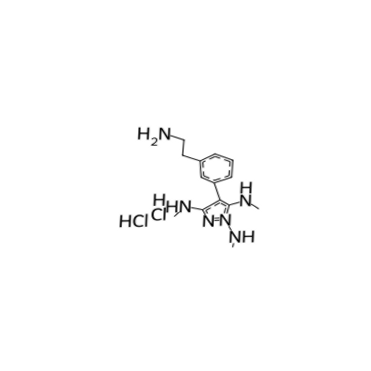 CNc1nn(NC)c(NC)c1-c1cccc(CCN)c1.Cl.Cl